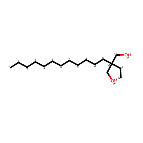 CCCCCCCCCCCCC(CC)(CO)CO